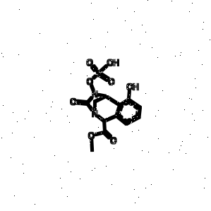 COC(=O)C1c2cccc(O)c2C2CN1C(=O)N2OS(=O)(=O)O